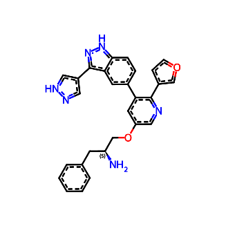 N[C@H](COc1cnc(-c2ccoc2)c(-c2ccc3[nH]nc(-c4cn[nH]c4)c3c2)c1)Cc1ccccc1